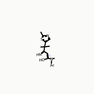 CC(=O)N(C)/C(O)=C/C(=N)C(C)(C)c1cnc(C)s1